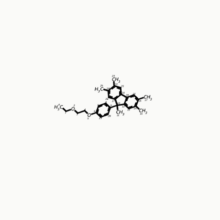 CCOCCOc1ccc(C2(C)c3cc(C)c(C)cc3-c3cc(C)c(C)cc32)cc1